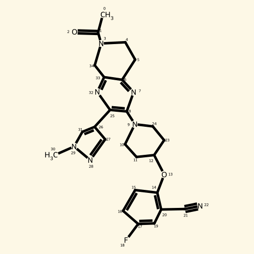 CC(=O)N1CCc2nc(N3CCC(Oc4ccc(F)cc4C#N)CC3)c(-c3cnn(C)c3)nc2C1